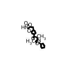 Cc1oc(-c2ccccc2)nc1C(C)C(=O)c1ccc(/C=C2/OC(=O)NC2=O)cc1